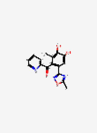 Cc1nc(-c2cc(O)c(O)c([N+](=O)[O-])c2C(=O)c2ccccn2)no1